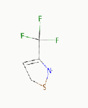 FC(F)(F)C1=CCS[N]1